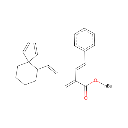 C=C(C=Cc1ccccc1)C(=O)OCCCC.C=CC1CCCCC1(C=C)C=C